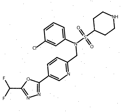 O=S(=O)(C1CCNCC1)N(Cc1ccc(-c2nnc(C(F)F)o2)cn1)c1cccc(Cl)c1